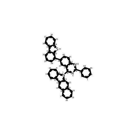 c1ccc(-c2nc(-n3c4ccccc4c4cc5ccccc5cc43)c3cc(-c4cccc5c4sc4ccccc45)ccc3n2)cc1